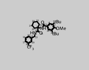 COc1c(C(C)(C)C)cc(C(=O)NC2(C(=O)NCc3cccc(C(F)(F)F)c3)CCCCC2)cc1C(C)(C)C